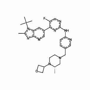 Cc1nc2ncc(-c3nc(Nc4ccc(CN5CCN(C6COC6)[C@@H](C)C5)cn4)ncc3F)cc2n1C(C)(C)C